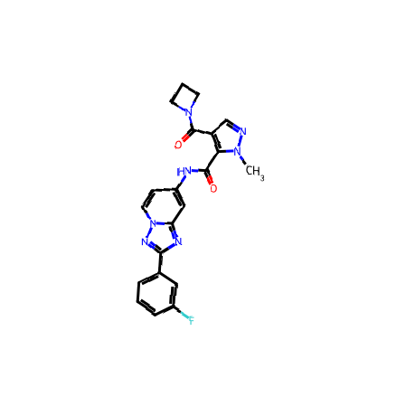 Cn1ncc(C(=O)N2CCC2)c1C(=O)Nc1ccn2nc(-c3cccc(F)c3)nc2c1